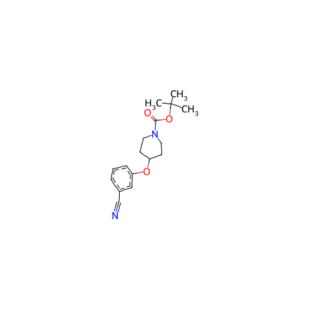 CC(C)(C)OC(=O)N1CCC(Oc2cccc(C#N)c2)CC1